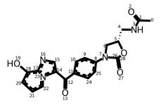 CC(=O)NC[C@H]1CN(c2ccc(C(=O)c3cnc4c(O)cccn34)cc2)C(=O)O1